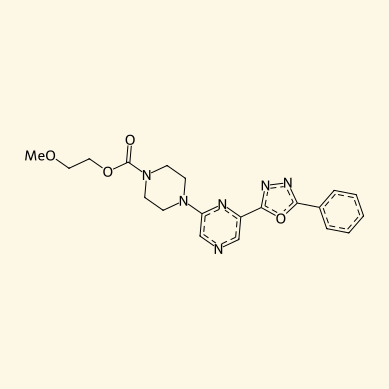 COCCOC(=O)N1CCN(c2cncc(-c3nnc(-c4ccccc4)o3)n2)CC1